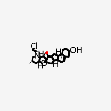 CC1=C2C[C@H]3C(CC=C4C[C@@H](O)CC[C@@]43C)[C@@H]2CC[C@]12O[C@@H]1C[C@H](C)CN(CCCl)[C@H]1[C@H]2C